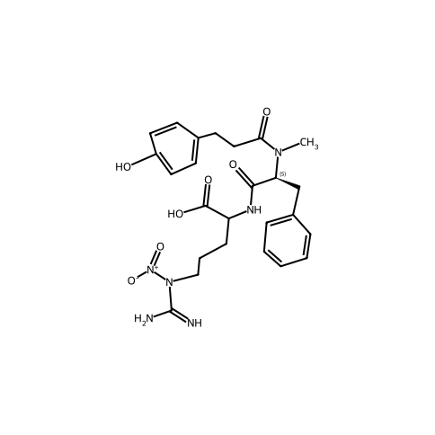 CN(C(=O)CCc1ccc(O)cc1)[C@@H](Cc1ccccc1)C(=O)NC(CCCN(C(=N)N)[N+](=O)[O-])C(=O)O